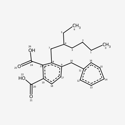 CCCCC(CC)Cc1c(Cc2ccccc2)ccc(C(=O)O)c1C(=O)O